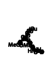 COc1ccc(CCN2C(=O)[C@H](CC(=O)OCOC(=O)C(C)(C)C)C[C@H]2COc2ccc(-c3ccc(C(=N)NC(=O)OCc4ccccc4)cc3)cc2)cc1OC